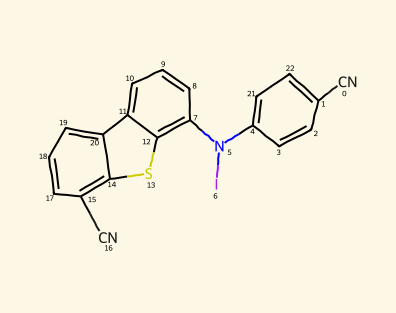 N#Cc1ccc(N(I)c2cccc3c2sc2c(C#N)cccc23)cc1